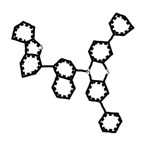 c1ccc(-c2ccc3c(c2)Sc2cc(-c4ccccc4)ccc2N3c2ccc(-c3cccc4c3sc3ccccc34)c3ccccc23)cc1